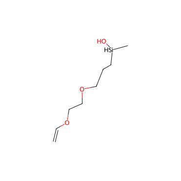 C=COCCOCCC[SiH](C)O